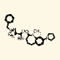 CN1C(=O)[C@@H](NC(=O)c2nnn(Cc3ccccc3)n2)CCc2ccc(N3CCCC3)cc21